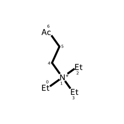 CC[N+](CC)(CC)CCC(C)=O